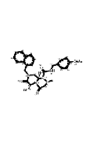 CCC[C@H]1C(=O)N(Cc2cccc3ccccc23)C[C@H]2N1C(=O)CN(C)N2C(=O)NCc1ccc(OC)cc1